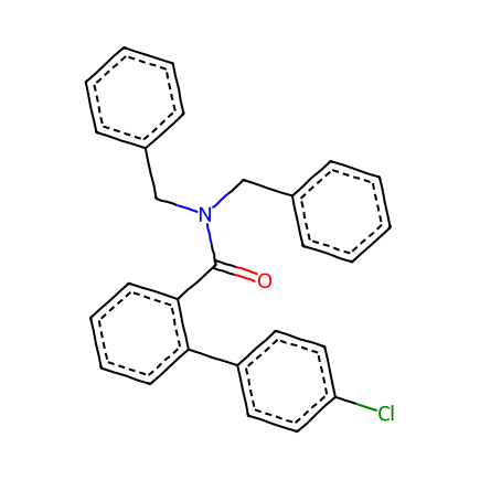 O=C(c1ccccc1-c1ccc(Cl)cc1)N(Cc1ccccc1)Cc1ccccc1